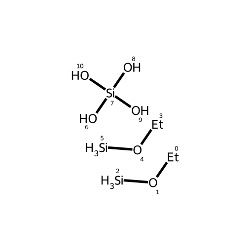 CCO[SiH3].CCO[SiH3].O[Si](O)(O)O